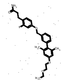 CCOCCOc1cc(C)c(-c2cccc(COc3ccc(CCC(N)=O)c(F)c3)c2)c(C)c1